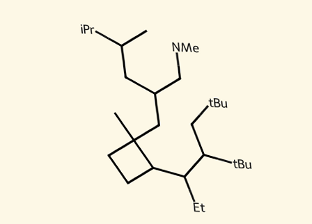 CCC(C(CC(C)(C)C)C(C)(C)C)C1CCC1(C)CC(CNC)CC(C)C(C)C